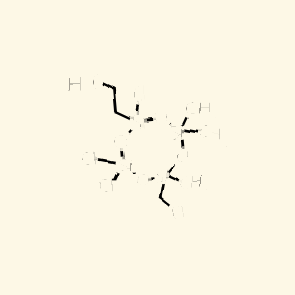 CCC[Si]1(Cl)O[Si](C)(C)O[Si](C)(CCl)O[Si](Cl)(Cl)O1